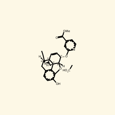 CC(=O)O.COC(=O)c1ccnc(O[C@H]2C=C[C@H]3[C@H]4Cc5ccc(O)c6c5[C@@]3(CCN4C)[C@H]2O6)c1